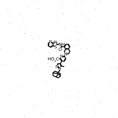 Cc1c(-c2ccc(N3CCc4cccc(C(=O)Nc5nc6ncccc6s5)c4C3)nc2C(=O)O)cnn1CC12CC3CC(CC(C3)C1)C2